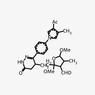 CC(=O)c1cn(-c2ccc(C3=NNC(=O)CC3C)cc2)cc1C.COC1OC(C)(OC)C(C=O)C1C